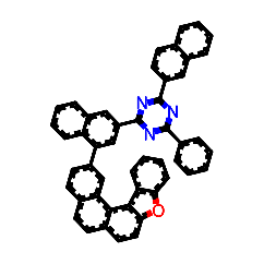 c1ccc(-c2nc(-c3ccc4ccccc4c3)nc(-c3cc(-c4ccc5ccc6ccc7oc8ccccc8c7c6c5c4)c4ccccc4c3)n2)cc1